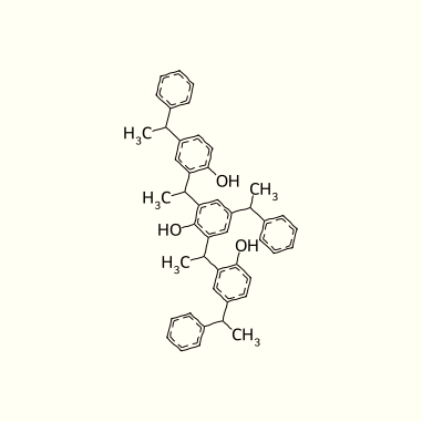 CC(c1ccccc1)c1ccc(O)c(C(C)c2cc(C(C)c3ccccc3)cc(C(C)c3cc(C(C)c4ccccc4)ccc3O)c2O)c1